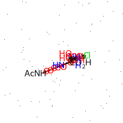 CC(=O)NCCOCCOCCOCCOCCNC(=O)CCCCCO[C@]1(C(=O)O)C[C@H](O)[C@@H](NC(=O)CO)[C@H]([C@H](O)[C@H](O)CNC(=O)Cc2ccc(Cl)cc2)O1